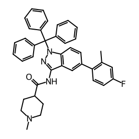 Cc1cc(F)ccc1-c1ccc2c(c1)c(NC(=O)C1CCN(C)CC1)nn2C(c1ccccc1)(c1ccccc1)c1ccccc1